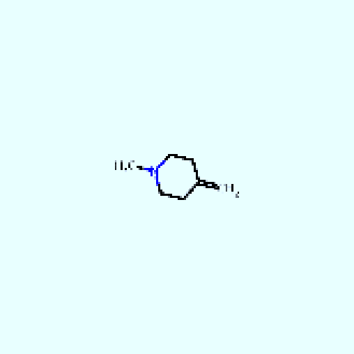 C=C1CCN(C)CC1